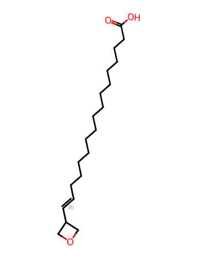 O=C(O)CCCCCCCCCCCCCC/C=C/C1COC1